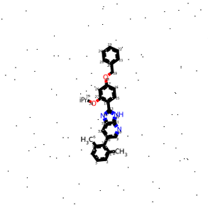 Cc1cccc(C)c1-c1cnc2[nH]c(-c3ccc(OCc4ccccc4)cc3OC(C)C)nc2c1